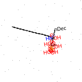 CC#CC#CC#CC#CC#CC#CC#CC#CC#CC#CC#CC#CC(=O)N[C@@H](COC1OC(CO)C(OSOOO)C(OSOOO)C1O)[C@H](O)/C=C/CCCCCCCCCCCCC